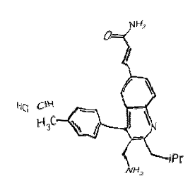 Cc1ccc(-c2c(CN)c(CC(C)C)nc3ccc(/C=C/C(N)=O)cc23)cc1.Cl.Cl